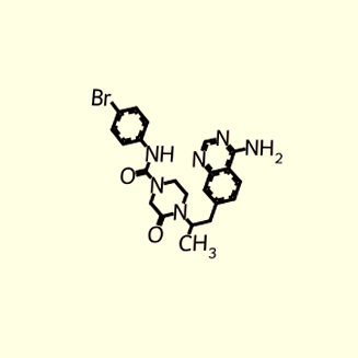 CC(Cc1ccc2c(N)ncnc2c1)N1CCN(C(=O)Nc2ccc(Br)cc2)CC1=O